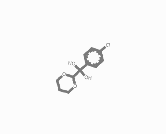 OC(O)(c1ccc(Cl)cc1)C1OCCCO1